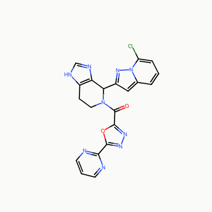 O=C(c1nnc(-c2ncccn2)o1)N1CCc2[nH]cnc2C1c1cc2cccc(Cl)n2n1